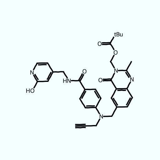 C#CCN(Cc1ccc2nc(C)n(COC(=O)C(C)(C)C)c(=O)c2c1)c1ccc(C(=O)NCc2ccnc(O)c2)cc1